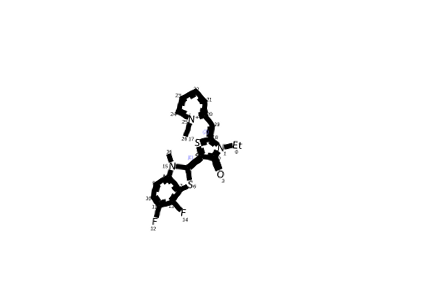 CCn1c(=O)/c(=C2\Sc3c(ccc(F)c3F)N2C)s/c1=C\c1cccc[n+]1C